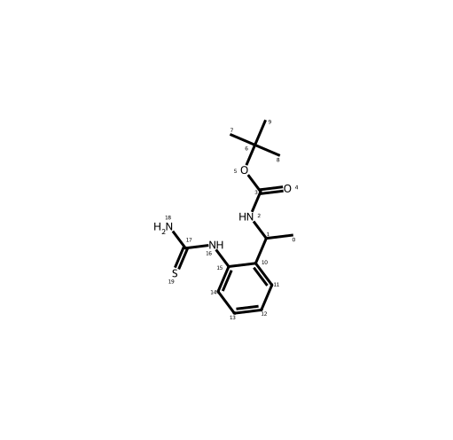 CC(NC(=O)OC(C)(C)C)c1ccccc1NC(N)=S